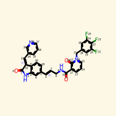 O=C1Nc2cc(/C=C/CNC(=O)c3cccn(Cc4cc(F)c(F)c(F)c4)c3=O)ccc2/C1=C\c1cccnc1